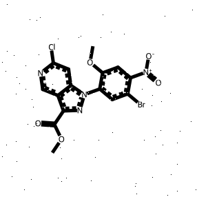 COC(=O)c1nn(-c2cc(Br)c([N+](=O)[O-])cc2OC)c2cc(Cl)ncc12